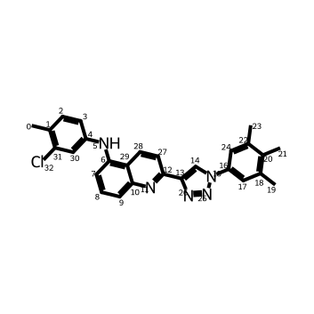 Cc1ccc(Nc2cccc3nc(-c4cn(-c5cc(C)c(C)c(C)c5)nn4)ccc23)cc1Cl